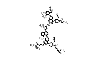 C=CC(=O)N1CCN(c2nc(OC[C@@H]3CC(c4ccc(N5CCc6c(nc(OCCC(=O)N(C)C)nc6N6CCN(C(=O)/C=C/CN(C)C)[C@@H](CC#N)C6)C5)c5c(C)cccc45)CN3C)nc3c2CCN(c2c(C)c(C)cc4[nH]ncc24)C3)C[C@@H]1CC#N